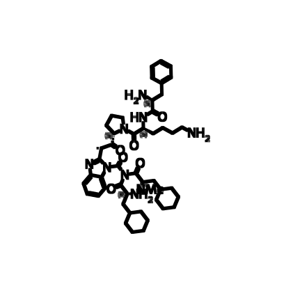 CN[C@@H](CC1CCCCC1)C(=O)N(C(=O)[C@H](N)CC1CCCCC1)C(=O)n1c([CH]C(=O)[C@@H]2CCCN2C(=O)[C@H](CCCCN)NC(=O)[C@@H](N)Cc2ccccc2)nc2ccccc21